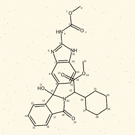 COC(=O)Nc1nc2cc(C3(O)c4ccccc4C(=O)N3C(C(=O)OC)C3CCCCC3)ccc2[nH]1